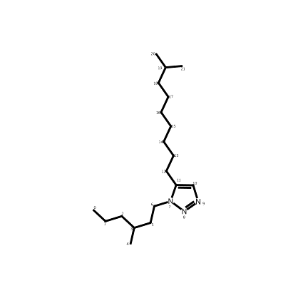 CCCC(C)CCn1nncc1CCCCCCCC(C)C